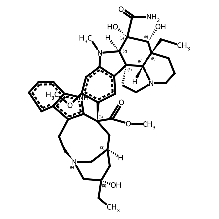 CC[C@]1(O)C[C@H]2C[N@](CCc3c([nH]c4ccccc34)[C@@](C(=O)OC)(c3cc4c(cc3OC)N(C)[C@H]3[C@@](O)(C(N)=O)[C@H](O)[C@]5(CC)CCCN6CC[C@]43[C@@H]65)C2)C1